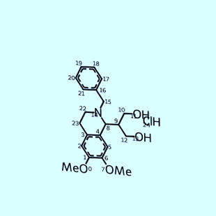 COc1cc2c(cc1OC)C(C(CO)CO)N(Cc1ccccc1)CC2.Cl